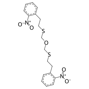 O=[N+]([O-])c1ccccc1CCSCOCSCCc1ccccc1[N+](=O)[O-]